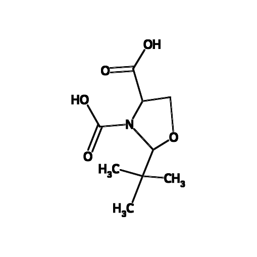 CC(C)(C)C1OCC(C(=O)O)N1C(=O)O